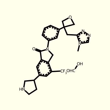 Cn1cnnc1CC1(c2cccc(N3Cc4c(cc(C5CCNC5)cc4C(F)(F)F)C3=O)c2)COC1.O=CO